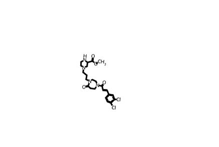 COC(=O)C1CN(CCCN2CCN(C(=O)/C=C/c3ccc(Cl)c(Cl)c3)CCC2=O)CCN1